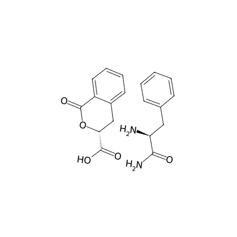 NC(=O)[C@@H](N)Cc1ccccc1.O=C1O[C@@H](C(=O)O)Cc2ccccc21